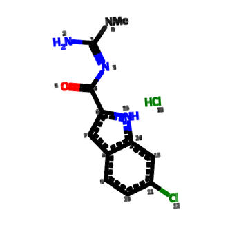 CNC(N)=NC(=O)c1cc2ccc(Cl)cc2[nH]1.Cl